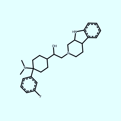 CN(C)C1(c2cccc(F)c2)CCC(C(O)CN2CCC3c4ccccc4NC3C2)CC1